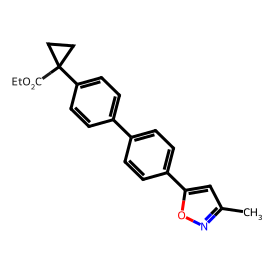 CCOC(=O)C1(c2ccc(-c3ccc(-c4cc(C)no4)cc3)cc2)CC1